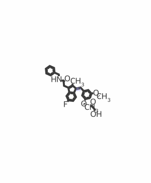 COc1cc(/C=C2/C(C)=C(CC(=O)NCc3ccccc3)c3cc(F)ccc32)cc(OC)c1OCCO